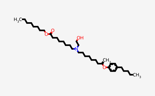 C=C(CCCCCCCN(CCO)CCCCCCCC(=O)OCCCCCCCC)Oc1ccc(CCCCC)cc1